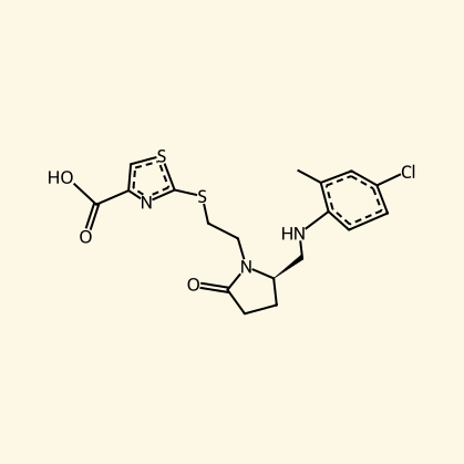 Cc1cc(Cl)ccc1NC[C@H]1CCC(=O)N1CCSc1nc(C(=O)O)cs1